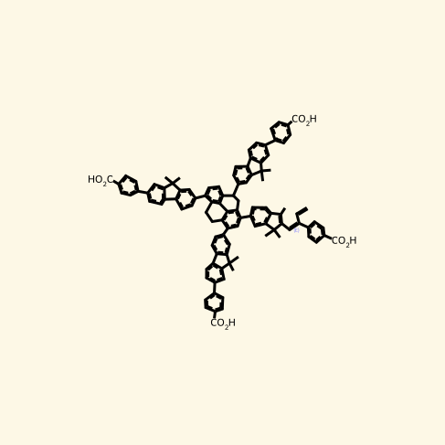 C=C/C(=C\C1=C(C)c2ccc(-c3cc(-c4ccc5c(c4)C(C)(C)c4cc(-c6ccc(C(=O)O)cc6)ccc4-5)c4c5c3CC(c3ccc6c(c3)C(C)(C)c3cc(-c7ccc(C(=O)O)cc7)ccc3-6)c3ccc(-c6ccc7c(c6)C(C)(C)c6cc(-c8ccc(C(=O)O)cc8)ccc6-7)c(c3-5)CC4)cc2C1(C)C)c1ccc(C(=O)O)cc1